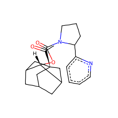 CC(=O)[C@]12CC3CC(C1)[C@@H](OC(=O)N1CCCC1c1ccccn1)C(C3)C2